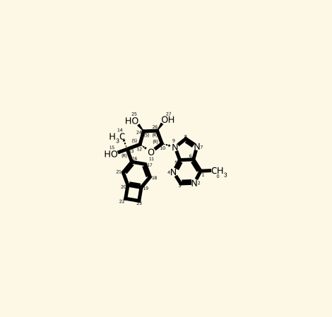 Cc1ncnc2c1ncn2[C@@H]1O[C@H]([C@](C)(O)c2ccc3c(c2)CC3)[C@@H](O)[C@H]1O